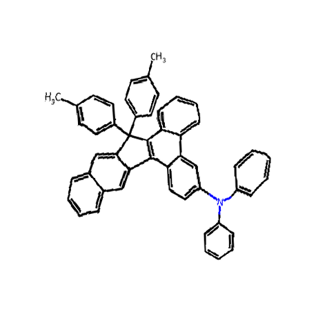 Cc1ccc(C2(c3ccc(C)cc3)c3cc4ccccc4cc3-c3c2c2ccccc2c2cc(N(c4ccccc4)c4ccccc4)ccc32)cc1